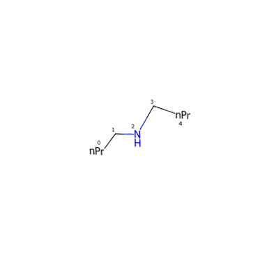 [CH]CCCNCCCC